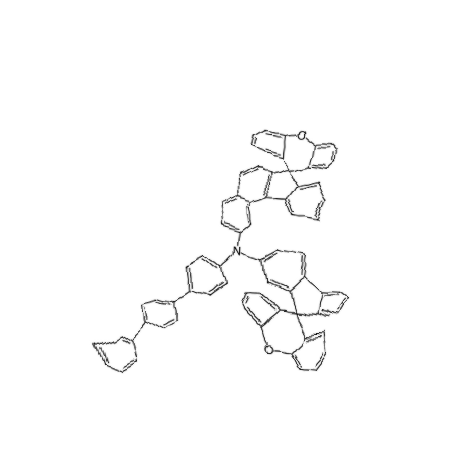 c1ccc(-c2ccc(-c3ccc(N(c4ccc5c(c4)C4(c6ccccc6Oc6ccccc64)c4ccccc4-5)c4ccc5ccc6c(c5c4)-c4ccccc4C64c5ccccc5Oc5ccccc54)cc3)cc2)cc1